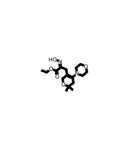 CCOC(=O)/C(CC1=C(N2CCOCC2)CC(C)(C)OC1)=N\O